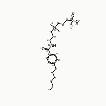 CCCCCCc1ccc(C(=O)NCCC[N+](C)(C)CCCS(=O)(=O)[O-])cc1